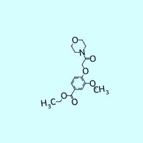 CCOC(=O)c1ccc(OCC(=O)N2CCOCC2)c(OC)c1